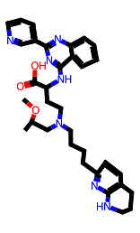 COC(C)CN(CCCCc1ccc2c(n1)NCCC2)CCC(Nc1nc(-c2cccnc2)nc2ccccc12)C(=O)O